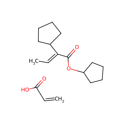 C=CC(=O)O.CC=C(C(=O)OC1CCCC1)C1CCCC1